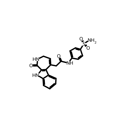 NS(=O)(=O)c1ccc(NC(=O)CC2=CCNC(=O)c3[nH]c4ccccc4c32)cc1